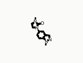 Cn1ccn(-c2ccc3c(cnn3C)c2)c1=O